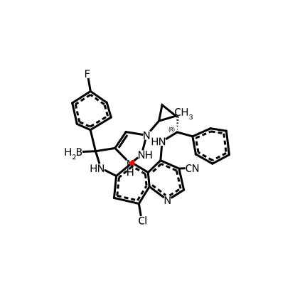 BC(Nc1cc(Cl)c2ncc(C#N)c(N[C@H](C)c3ccccc3)c2c1)(C1=CN(C2CC2)NN1)c1ccc(F)cc1